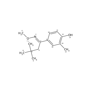 CO/N=C(\CC(C)(C)C)c1ccc(O)c(C)c1